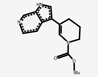 CC(C)(C)OC(=O)N1C=C(c2c[nH]c3cnccc23)CCC1